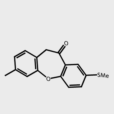 CSc1ccc2c(c1)C(=O)Cc1ccc(C)cc1O2